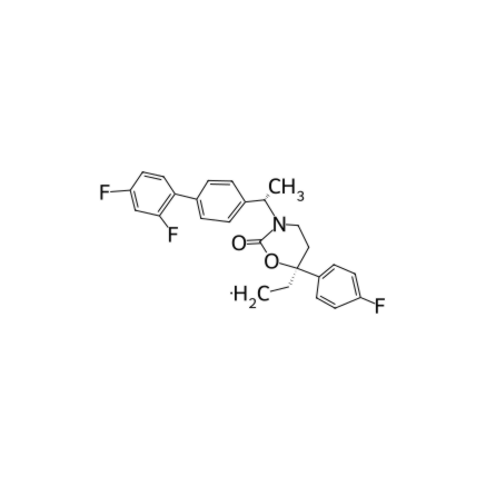 [CH2]C[C@@]1(c2ccc(F)cc2)CCN([C@@H](C)c2ccc(-c3ccc(F)cc3F)cc2)C(=O)O1